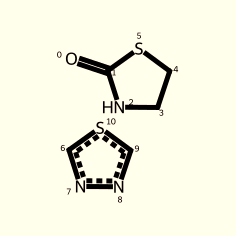 O=C1NCCS1.c1nncs1